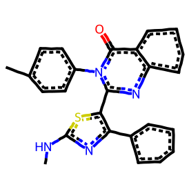 CNc1nc(-c2ccccc2)c(-c2nc3ccccc3c(=O)n2-c2ccc(C)cc2)s1